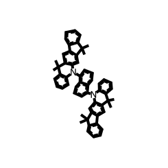 CC1(C)c2ccccc2-c2cc3c(cc21)N(c1cccc2c(N4c5ccccc5C(C)(C)c5cc6c(cc54)C(C)(C)c4ccccc4-6)cccc12)c1ccccc1C3(C)C